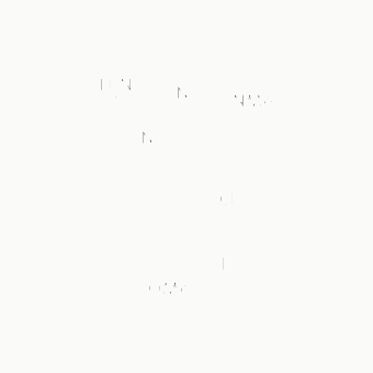 CNc1cc(-c2ccc(OC)c(Cl)c2Cl)nc(N)n1